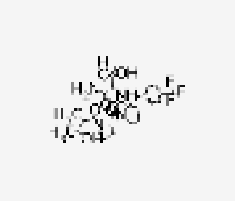 C[C@H](C(=O)N1CCC[C@H]1C(=O)N1CCCC1(Cc1ccc(C(F)(F)F)cc1)C(=O)N[C@H](C(N)=O)[C@@H](C)O)[C@@H](C)O